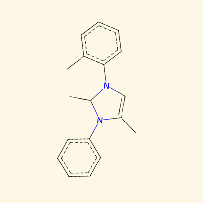 CC1=CN(c2ccccc2C)C(C)N1c1ccccc1